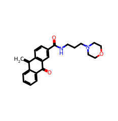 C=C1c2ccccc2C(=O)c2cc(C(=O)NCCCN3CCOCC3)ccc21